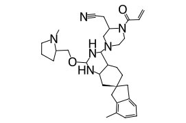 C=CC(=O)N1CCN(C2NC(OCC3CCCN3C)NC3C[C@@]4(CCC32)Cc2cccc(C)c2C4)CC1CC#N